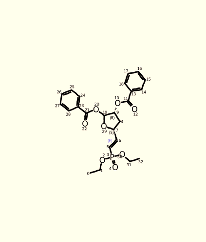 CCOP(=O)(/C=C/[C@@H]1C[C@@H](OC(=O)c2ccccc2)C(OC(=O)c2ccccc2)O1)OCC